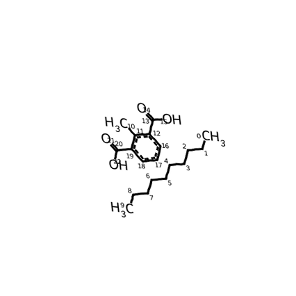 CCCCCCCCCC.Cc1c(C(=O)O)cccc1C(=O)O